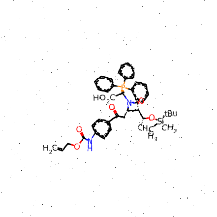 C=CCOC(=O)Nc1ccc(C(=O)C[C@@H]2[C@@H]([C@@H](C)O[Si](C)(C)C(C)(C)C)C(=O)N2C(C(=O)O)=P(c2ccccc2)(c2ccccc2)c2ccccc2)cc1